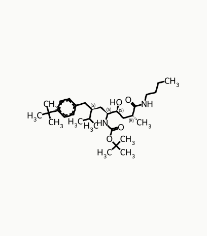 CCCCNC(=O)[C@H](C)C[C@H](O)[C@H](C[C@H](Cc1ccc(C(C)(C)C)cc1)C(C)C)NC(=O)OC(C)(C)C